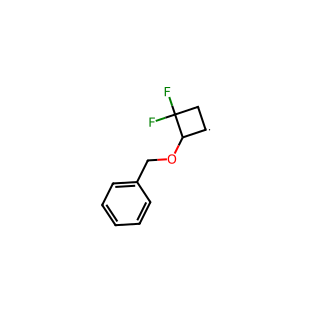 FC1(F)C[CH]C1OCc1ccccc1